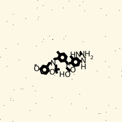 CNc1ccc([C@H](CC(=O)O)c2ccc(C)c(CN3Cc4cc(OC)ccc4OC(C)(C)C3)c2)c(C)c1NN